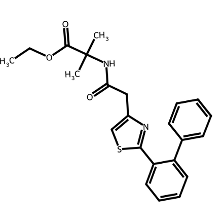 CCOC(=O)C(C)(C)NC(=O)Cc1csc(-c2ccccc2-c2ccccc2)n1